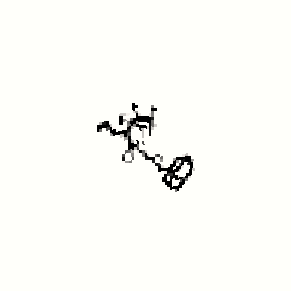 C=CCC(C(=O)OCOCC12CC3CC(CC(C3)C1)C2)C(F)(F)C(F)=C(F)F